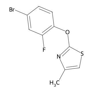 Cc1csc(Oc2ccc(Br)cc2F)n1